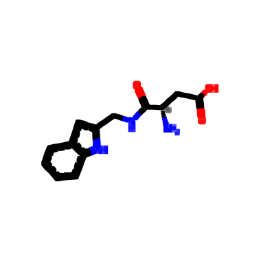 N[C@@H](CC(=O)O)C(=O)NCc1cc2ccccc2[nH]1